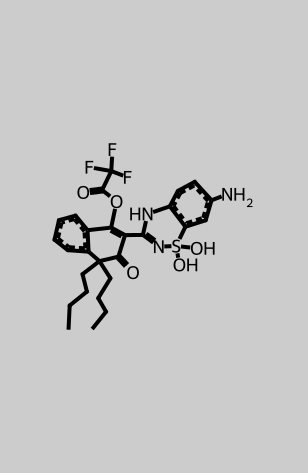 CCCCC1(CCCC)C(=O)C(C2=NS(O)(O)c3cc(N)ccc3N2)=C(OC(=O)C(F)(F)F)c2ccccc21